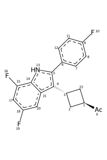 CC(=O)[C@H]1C[C@H](c2c(-c3ccc(F)cc3)[nH]c3c(F)cc(F)cc32)C1